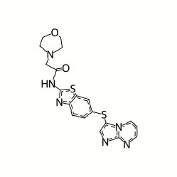 O=C(CN1CCOCC1)Nc1nc2ccc(Sc3cnc4ncccn34)cc2s1